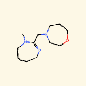 CN1CCCCN=C1CN1CCCOCC1